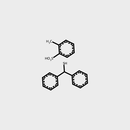 Cc1ccccc1S(=O)(=O)O.SC(c1ccccc1)c1ccccc1